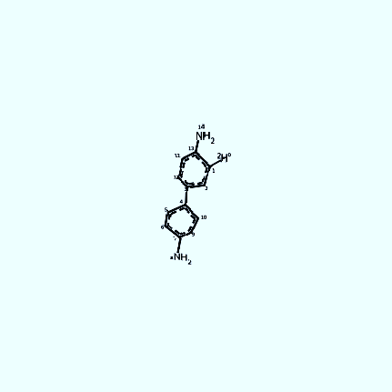 [2H]c1cc(-c2ccc(N)cc2)ccc1N